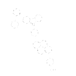 Cc1ccc(-c2ccc3ccc4c(-c5ccc(-n6c7ccccc7c7cc(-c8ccccc8-c8ccccc8)ccc76)cc5)ccc5ccc2c3c54)cc1